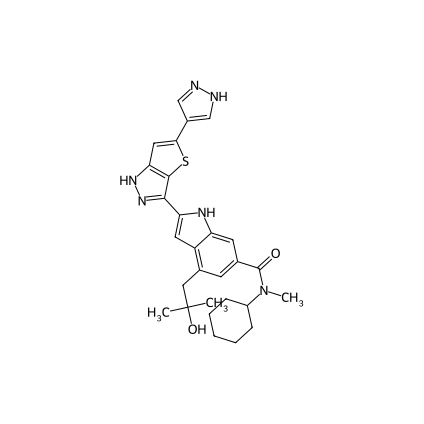 CN(C(=O)c1cc(CC(C)(C)O)c2cc(-c3n[nH]c4cc(-c5cn[nH]c5)sc34)[nH]c2c1)C1CCCCC1